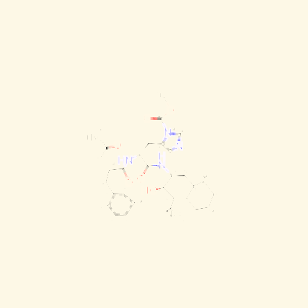 CC(C)(C)OC(=O)n1cncc1C[C@H](NC(=O)[C@@H](CC(=O)C(C)(C)C)Cc1ccccc1)C(=O)N[C@@H](CC1CCCCC1)C(O)C[N+](=O)[O-]